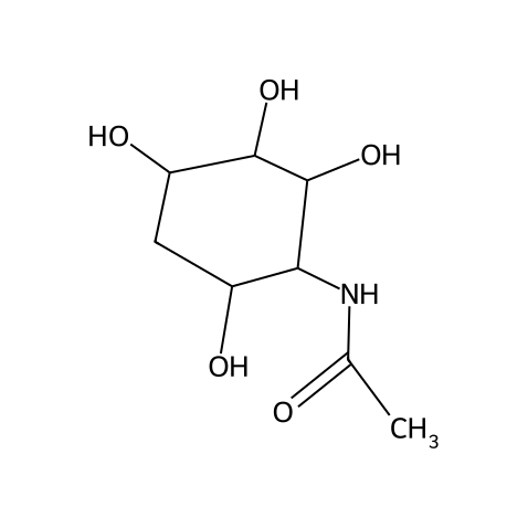 CC(=O)NC1C(O)CC(O)C(O)C1O